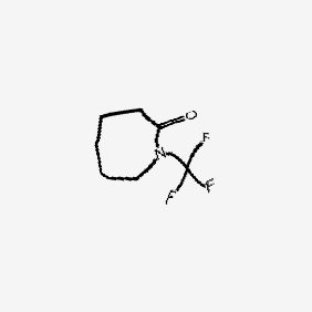 O=C1CCCCCN1C(F)(F)F